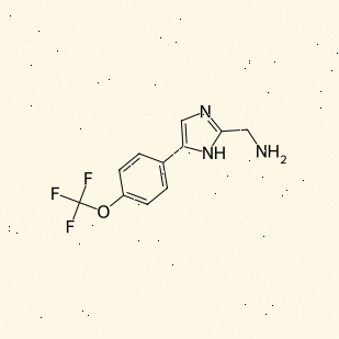 NCc1ncc(-c2ccc(OC(F)(F)F)cc2)[nH]1